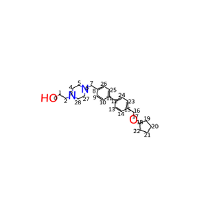 OCCN1CCN(Cc2ccc(-c3ccc(COC4CCCC4)cc3)cc2)CC1